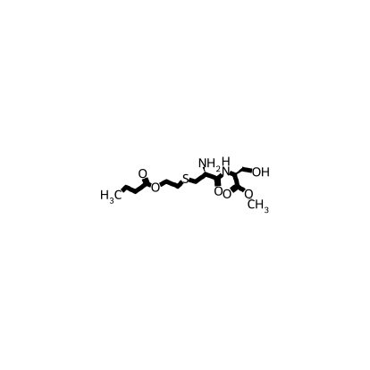 CCCC(=O)OCCSC[C@H](N)C(=O)N[C@@H](CO)C(=O)OC